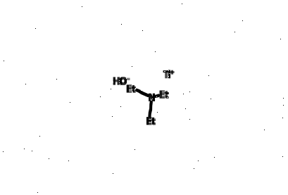 CCN(CC)CC.[OH-].[Tl+]